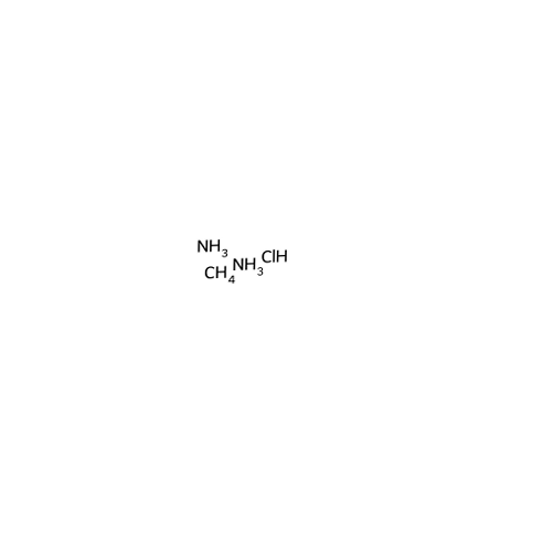 C.Cl.N.N